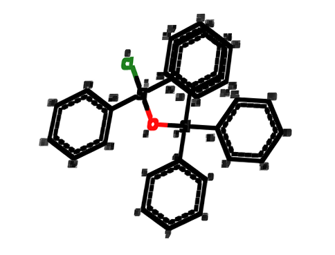 Cl[Si](O[Si](c1ccccc1)(c1ccccc1)c1ccccc1)(c1ccccc1)c1ccccc1